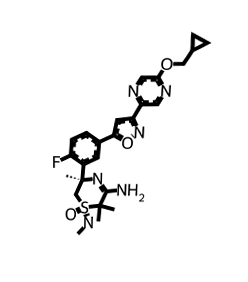 CN=S1(=O)C[C@@](C)(c2cc(-c3cc(-c4cnc(OCC5CC5)cn4)no3)ccc2F)N=C(N)C1(C)C